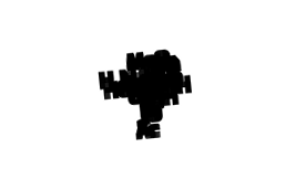 COc1cccc2c1C(=O)c1c(O)c3c(c(O)c1C2=O)CC(O)(C(=O)COC(=O)CCCC(C)=O)C[C@@H]3OC1CC(N)C(O)C(C)O1